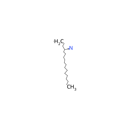 [CH2]CCC(C#N)CCCCCCCCCCCCCC